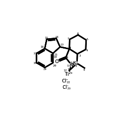 C[SiH](C)C1CCCCC1(C(=O)[NH][Ti+2])C1C=Cc2ccccc21.[Cl-].[Cl-]